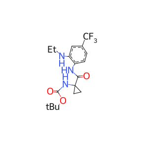 CCNc1cc(C(F)(F)F)ccc1NC(=O)C1(NC(=O)OC(C)(C)C)CC1